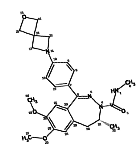 CNC(=O)N1N=C(c2ccc(N3CC4(COC4)C3)cc2)c2cc(OC)c(OC)cc2C[C@H]1C